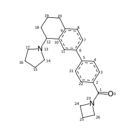 O=C(c1ccc(-c2ccc3c(c2)C(N2CCCC2)CCC3)cc1)N1CCC1